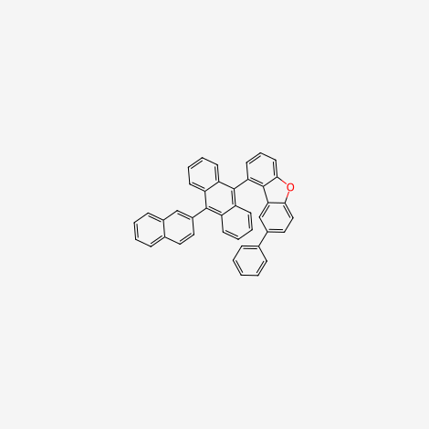 c1ccc(-c2ccc3oc4cccc(-c5c6ccccc6c(-c6ccc7ccccc7c6)c6ccccc56)c4c3c2)cc1